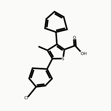 Cc1c(-c2ccc(Cl)cc2)sc(C(=O)O)c1-c1ccccc1